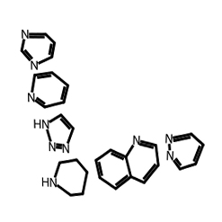 C1CCNCC1.c1c[nH]nn1.c1ccc2ncccc2c1.c1ccncc1.c1ccnnc1.c1cncnc1